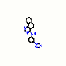 c1cc(Nc2ncnc3c2CCc2ccccc2-3)cc(-n2cncn2)c1